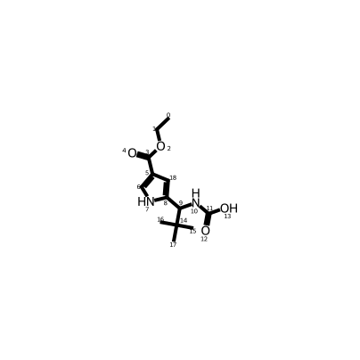 CCOC(=O)c1c[nH]c(C(NC(=O)O)C(C)(C)C)c1